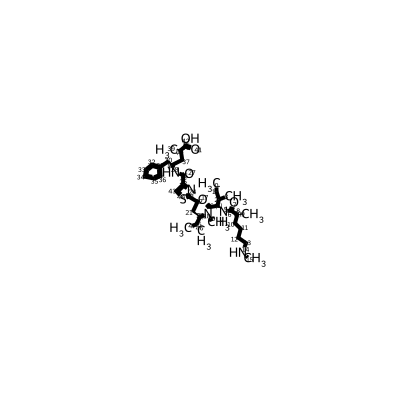 CCC(C)[C@H](NC(=O)[C@H](C)CCCCNC)C(=O)N(C)[C@H](CCc1nc(C(=O)N[C@@H](Cc2ccccc2)C[C@H](C)C(=O)O)cs1)C(C)C